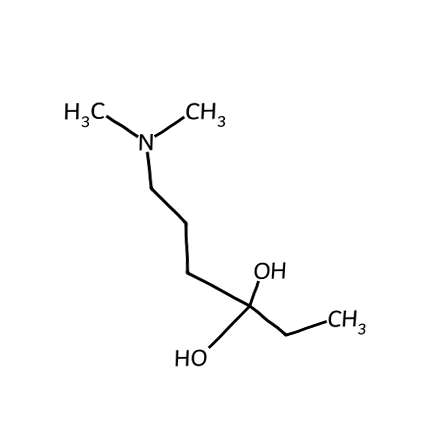 CCC(O)(O)CCCN(C)C